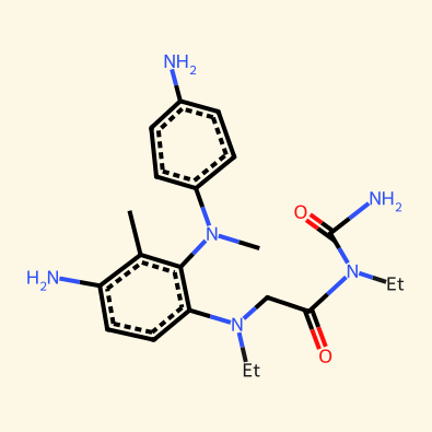 CCN(C(N)=O)C(=O)CN(CC)c1ccc(N)c(C)c1N(C)c1ccc(N)cc1